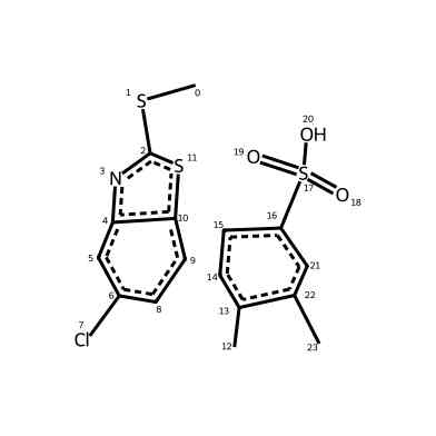 CSc1nc2cc(Cl)ccc2s1.Cc1ccc(S(=O)(=O)O)cc1C